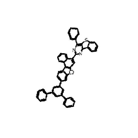 c1ccc(-c2cc(-c3ccccc3)cc(-c3ccc4c(c3)oc3cc(-c5nc(-c6ccccc6)c6sc7ccccc7c6n5)c5ccccc5c34)c2)cc1